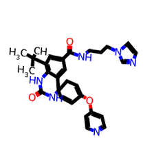 CC(C)(C)c1cc(C(=O)NCCCn2ccnc2)cc2c1NC(=O)NC21C=CC(Oc2ccncc2)=CC1